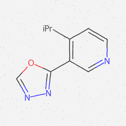 CC(C)c1ccncc1-c1nnco1